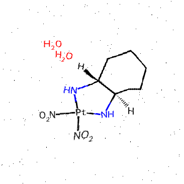 O.O.O=[N+]([O-])[Pt]1([N+](=O)[O-])[NH][C@@H]2CCCC[C@H]2[NH]1